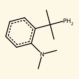 CN(C)c1ccccc1C(C)(C)P